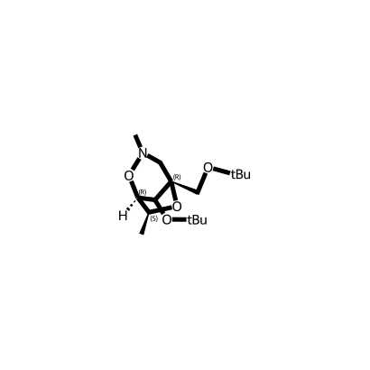 C[C@@H]1O[C@@]2(COC(C)(C)C)CN(C)O[C@H]1C2OC(C)(C)C